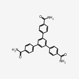 NC(=O)c1ccc(-c2cc(-c3ccc(C(N)=O)cc3)cc(-c3ccc(C(N)=O)cc3)c2)cc1